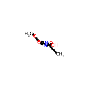 CCCCCCCCC(C(=O)O)c1cnc(-c2ccc(OCCCCOCCC)cc2)nc1